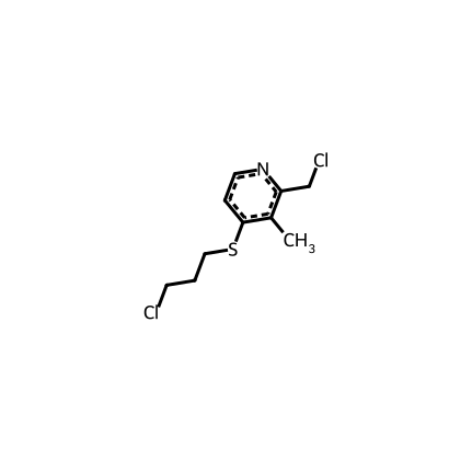 Cc1c(SCCCCl)ccnc1CCl